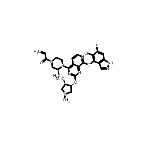 C=CC(=O)N1CCN(c2nc(O[C@@H]3CN(C)C[C@H]3OC)nc3c(Oc4c(Cl)c(F)cc5[nH]ncc45)nccc23)[C@@H](C)C1